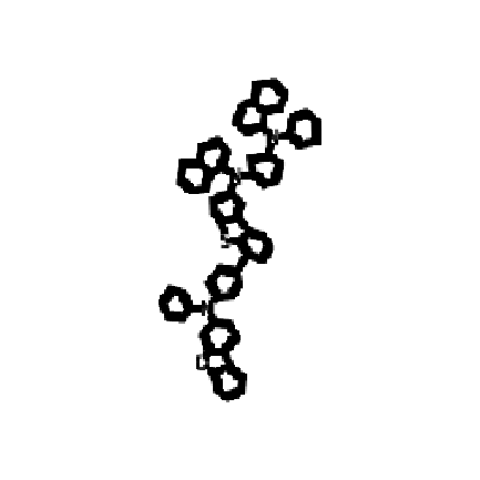 c1ccc(N(c2ccc(-c3cccc4c3sc3ccc(N(c5cccc(N(c6ccccc6)c6cccc7ccccc67)c5)c5cccc6ccccc56)cc34)cc2)c2ccc3c(c2)oc2ccccc23)cc1